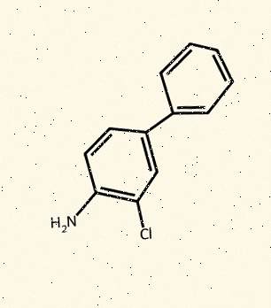 Nc1ccc(-c2ccccc2)cc1Cl